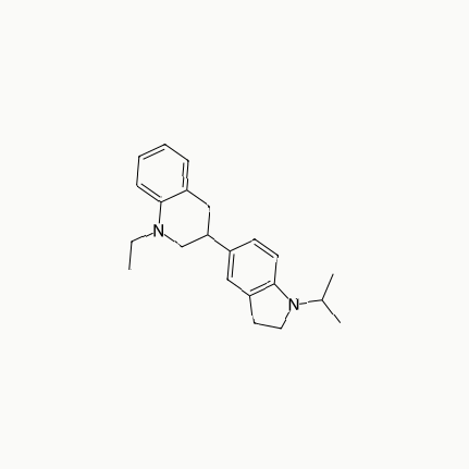 CCN1CC(c2ccc3c(c2)CCN3C(C)C)Cc2ccccc21